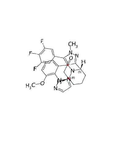 COc1cccc(C(=O)N2[C@@H]3CCC[C@H]2c2nn(C)c(-c4cc(F)c(F)c(F)c4)c2C3)c1-n1nccn1